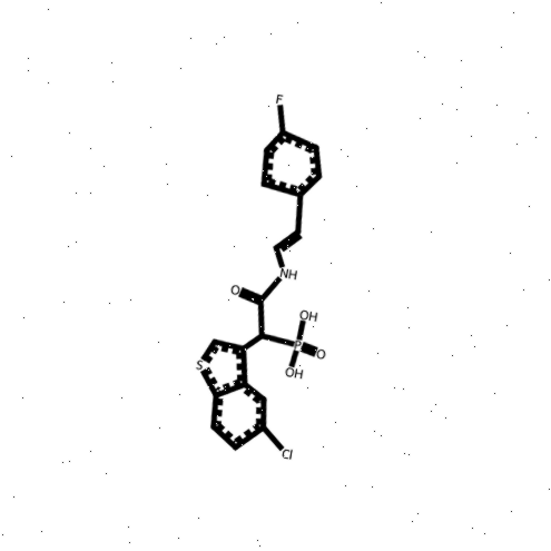 O=C(N/C=C/c1ccc(F)cc1)C(c1csc2ccc(Cl)cc12)P(=O)(O)O